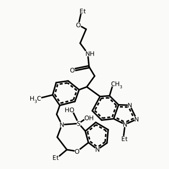 CCOCCNC(=O)CC(c1ccc(C)c(CN2CC(CC)Oc3ncccc3S2(O)O)c1)c1ccc2c(nnn2CC)c1C